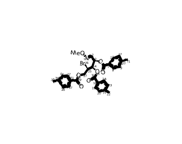 CON=C[C@@H](OC(=O)c1ccc(C)cc1)[C@@H](OC(=O)c1ccc(C)cc1)[C@H](Br)COC(=O)c1ccc(C)cc1